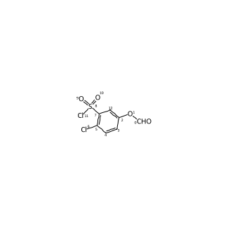 O=COc1ccc(Cl)c(S(=O)(=O)Cl)c1